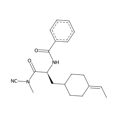 CC=C1CCC(C[C@H](NC(=O)c2ccccc2)C(=O)N(C)C#N)CC1